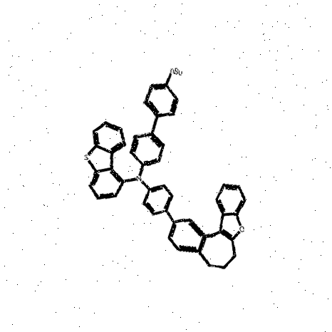 CCCCc1ccc(-c2ccc(N(c3ccc(-c4ccc5c(c4)-c4c(oc6ccccc46)CCC5)cc3)c3cccc4sc5ccccc5c34)cc2)cc1